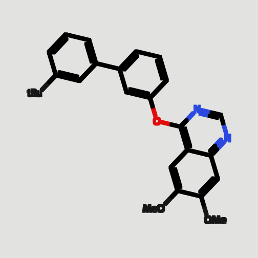 COc1cc2ncnc(Oc3cccc(-c4cccc(C(C)(C)C)c4)c3)c2cc1OC